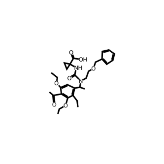 CCOc1cc(C(C)N(CCOCc2ccccc2)C(=O)NC2(C(=O)O)CC2)c(CC)c(OCC)c1C(C)=O